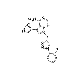 Nc1ncnc2c1c(-c1cnco1)cn2Cc1cn(-c2ccccc2F)nn1